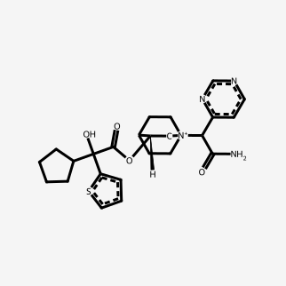 NC(=O)C(c1ccncn1)[N+]12CCC(CC1)[C@@H](OC(=O)C(O)(c1cccs1)C1CCCC1)C2